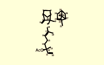 C=C1C2CCC(C2)C1(C)C.C=CC(C)(CCC=C(C)C)OC(C)=O.CC1=CCC2CC1C2(C)C